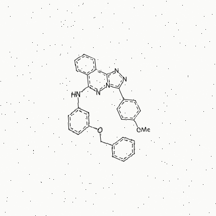 COc1ccc(-c2nnc3c4ccccc4c(Nc4cccc(OCc5ccccc5)c4)nn23)cc1